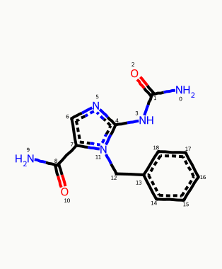 NC(=O)Nc1ncc(C(N)=O)n1Cc1ccccc1